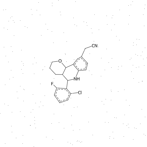 N#CCc1ccc2c(c1)C1OCCCC1C(c1c(F)cccc1Cl)N2